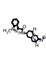 Cn1nc(C(=O)NC2CC3C[C@@H]4C[C@H](C2)N3C/C4=N\O)c2ccccc21